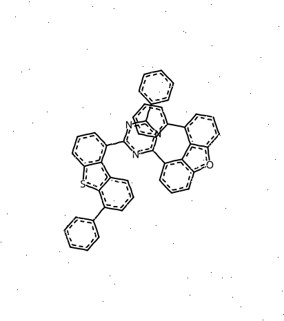 c1ccc(-c2nc(-c3cccc4sc5c(-c6ccccc6)cccc5c34)nc(-c3cccc4oc5cccc(-c6ccccc6)c5c34)n2)cc1